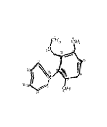 COc1c(O)ccc(O)c1-[n+]1ccccc1